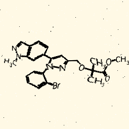 COC(=O)C(C)(C)OCc1cc(-c2ccc3cnn(C)c3c2)n(-c2ccccc2Br)n1